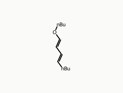 CCCC/C=C/C=C/OCCCC